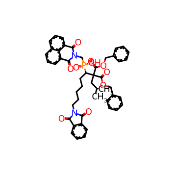 CC(C)CC(C(=O)OCc1ccccc1)(C(=O)OCc1ccccc1)C(CCCCCN1C(=O)c2ccccc2C1=O)P(=O)(O)CN1C(=O)c2cccc3cccc(c23)C1=O